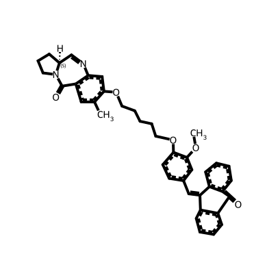 COc1cc(C=C2c3ccccc3C(=O)c3ccccc32)ccc1OCCCCCOc1cc2c(cc1C)C(=O)N1CCC[C@H]1C=N2